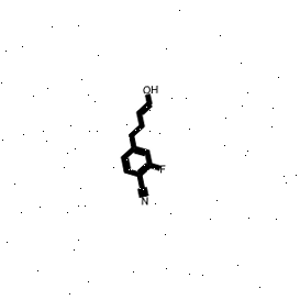 N#Cc1ccc(CCC=CO)cc1F